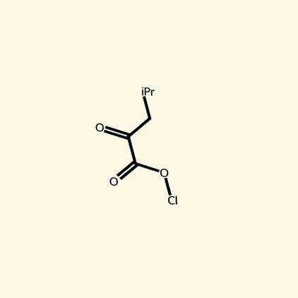 CC(C)CC(=O)C(=O)OCl